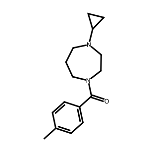 Cc1ccc(C(=O)N2CCCN(C3CC3)CC2)cc1